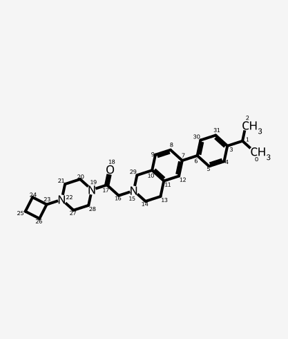 CC(C)c1ccc(-c2ccc3c(c2)CCN(CC(=O)N2CCN(C4CCC4)CC2)C3)cc1